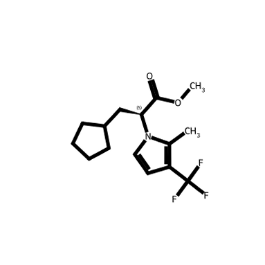 COC(=O)[C@H](CC1CCCC1)n1ccc(C(F)(F)F)c1C